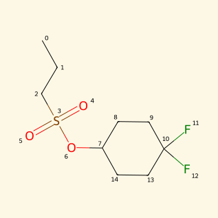 CCCS(=O)(=O)OC1CCC(F)(F)CC1